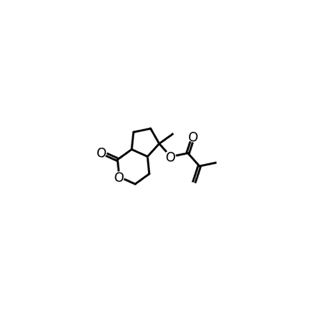 C=C(C)C(=O)OC1(C)CCC2C(=O)OCCC21